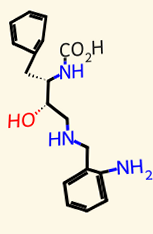 Nc1ccccc1CNC[C@H](O)[C@H](Cc1ccccc1)NC(=O)O